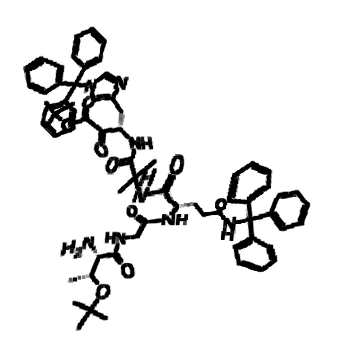 C[C@@H](OC(C)(C)C)[C@H](N)C(=O)NCC(=O)N[C@@H](CCC(=O)NC(c1ccccc1)(c1ccccc1)c1ccccc1)C(=O)NC(C)(C)C(=O)N[C@@H](Cc1cn(C(c2ccccc2)(c2ccccc2)c2ccccc2)cn1)C(=O)C(=O)OC(C)(C)C